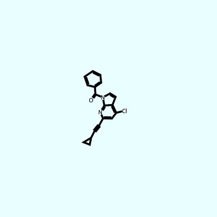 O=C(c1ccccc1)n1ccc2c(Cl)cc(C#CC3CC3)nc21